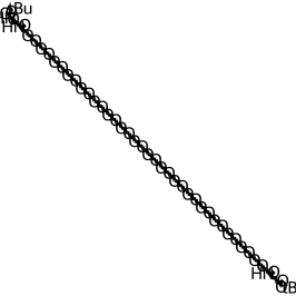 CC(C)(C)OC(=O)CCCC(=O)NCCOCCOCCOCCOCCOCCOCCOCCOCCOCCOCCOCCOCCOCCOCCOCCOCCOCCOCCOCCOCCOCCOCCOCCOCCOCCOCCOCCOCCOCCOCCOCCOCCOCCOCCOCCOCCC(=O)NCCONC(=O)OC(C)(C)C